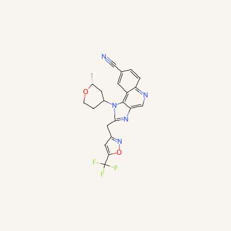 C[C@@H]1CC(n2c(Cc3cc(C(F)(F)F)on3)nc3cnc4ccc(C#N)cc4c32)CCO1